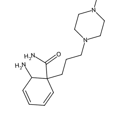 CN1CCN(CCCC2(C(N)=O)C=CC=CC2N)CC1